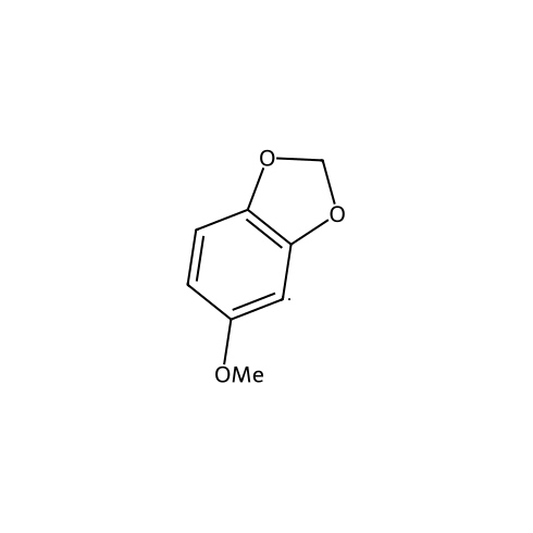 COc1[c]c2c(cc1)OCO2